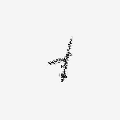 CCCCCCCCCCCC(=O)OCC(CSCCCNCCCCCNC(=O)OC=O)OC(=O)CCCCCCCCCCC